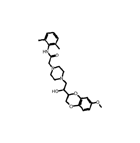 COc1ccc2c(c1)OC(C(O)CN1CCN(CC(=O)Nc3c(C)cccc3C)CC1)CO2